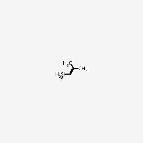 CC(C)=C[SiH2]I